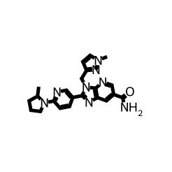 CC1CCCN1c1ccc(-c2nc3cc(C(N)=O)cnc3n2Cc2ccn(C)n2)cn1